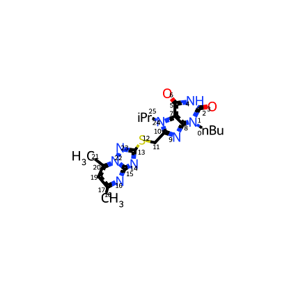 CCCCn1c(=O)[nH]c(=O)c2c1nc(CSc1nc3nc(C)cc(C)n3n1)n2C(C)C